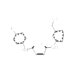 CCc1cccc(NC(=O)/C=C\C(=O)Nc2ccc(F)cc2)c1